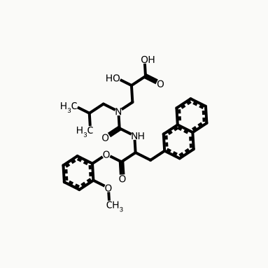 COc1ccccc1OC(=O)C(Cc1ccc2ccccc2c1)NC(=O)N(CC(C)C)CC(O)C(=O)O